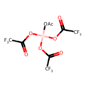 CC(=O)O[B-](OC(=O)C(F)(F)F)(OC(=O)C(F)(F)F)OC(=O)C(F)(F)F